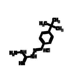 CC(C)(C)c1ccc(C=NNC(=N)NN)cc1.Cl